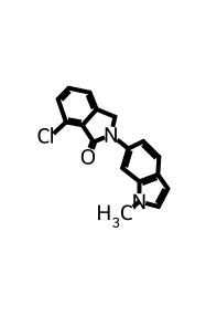 Cn1ccc2ccc(N3Cc4cccc(Cl)c4C3=O)cc21